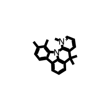 Cc1ccc2c3cccc4c3n(c2c1C)-c1c(ccc[n+]1C)C4(C)C